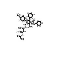 CC(C)c1c(C(=O)Nc2ccccc2)c(-c2ccccc2)c(-c2ccc(F)cc2)n1CC[C@H](O)C[C@H](O)CC(=O)O.[Ca]